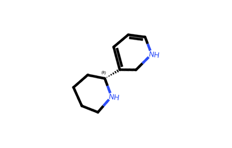 C1=CNCC([C@H]2CCCCN2)=C1